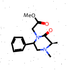 COC(=O)CN1C(=O)[C@@H](C)N(C)CC1c1ccccc1